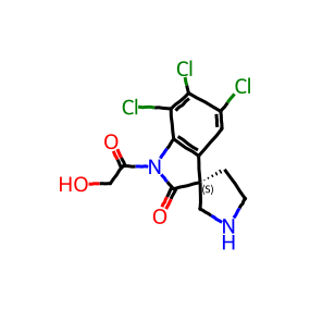 O=C(CO)N1C(=O)[C@@]2(CCNC2)c2cc(Cl)c(Cl)c(Cl)c21